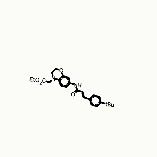 CCOC(=O)CN1CCOc2cc(NC(=O)/C=C/c3ccc(C(C)(C)C)cc3)ccc21